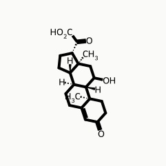 C[C@]12CC(O)[C@H]3[C@@H](CCC4=CC(=O)CC[C@@]43C)[C@@H]1CC[C@@H]2C(=O)C(=O)O